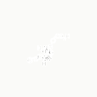 Nc1cc(C2CCC(CC(=O)O)CC2)ccc1NC(=O)c1nnc(Nc2cccc(OCc3ccccc3)c2)o1